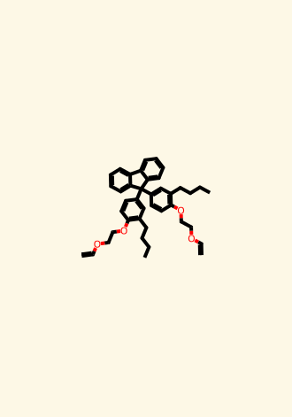 C=COCCOc1ccc(C2(c3ccc(OCCOC=C)c(CCCC)c3)c3ccccc3-c3ccccc32)cc1CCCC